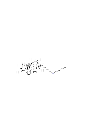 CCCCCCCC/C=C\CCCCCCCC(=O)NC1C(OC2C(CO)OC(OC3C(CO)OC(OC4C(COS(=O)(=O)O)OC(O)C(C)C4O)C(C)C3O)C(C)C2O)OC(CO)C(O)C1O